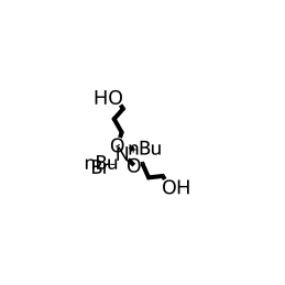 CCCC[N+](CCCC)(OCCCO)OCCCO.[Br-]